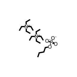 CCCCOP(=O)([O-])[O-].CC[N+](CC)(CC)CC.CC[N+](CC)(CC)CC